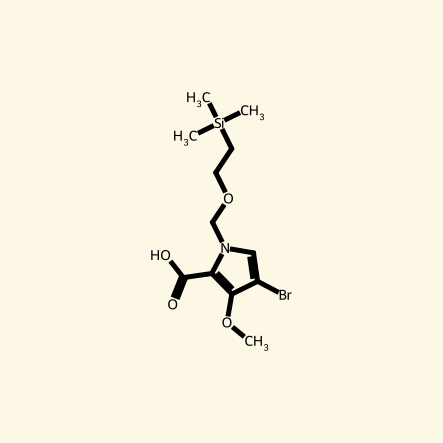 COc1c(Br)cn(COCC[Si](C)(C)C)c1C(=O)O